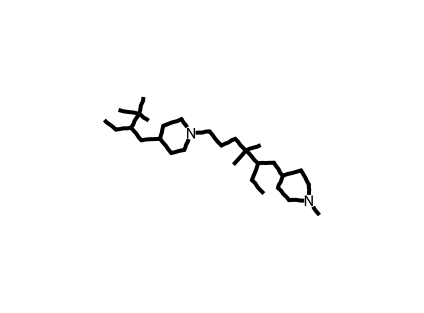 CCC(CC1CCN(CCCC(C)(C)C(CC)CC2CCN(C)CC2)CC1)C(C)(C)C